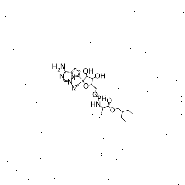 CCC(CC)COC(=O)C(C)NPOC[C@H]1OC(C#N)(c2ccc3c(N)ncnn23)C(O)C1O